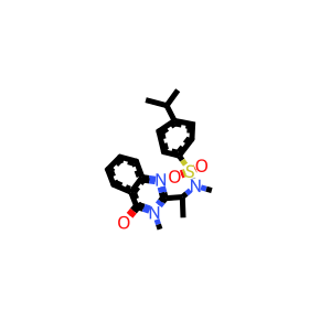 CC(C)c1ccc(S(=O)(=O)N(C)C(C)c2nc3ccccc3c(=O)n2C)cc1